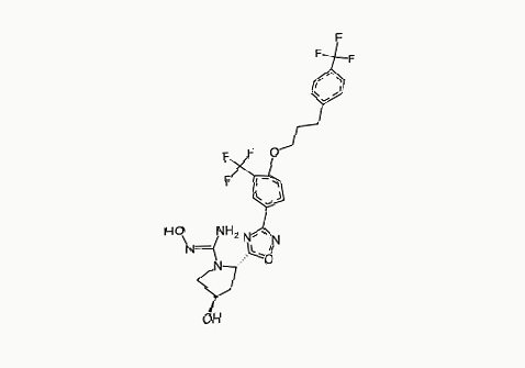 N/C(=N\O)N1C[C@H](O)C[C@H]1c1nc(-c2ccc(OCCCc3ccc(C(F)(F)F)cc3)c(C(F)(F)F)c2)no1